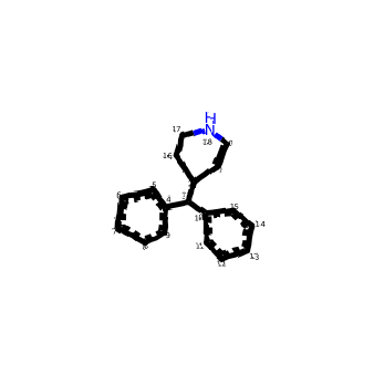 C1=CC(C(c2ccccc2)c2ccccc2)CCN1